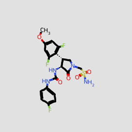 COc1cc(F)c([C@@H]2CN(CS(N)(=O)=O)C(=O)[C@H]2NC(=O)Nc2ccc(F)cc2)c(F)c1